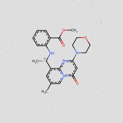 COC(=O)c1ccccc1N[C@@H](C)c1cc(C)cn2c(=O)cc(N3CCOCC3)nc12